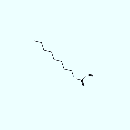 CCCCCCCCOC(=O)[S+]=O